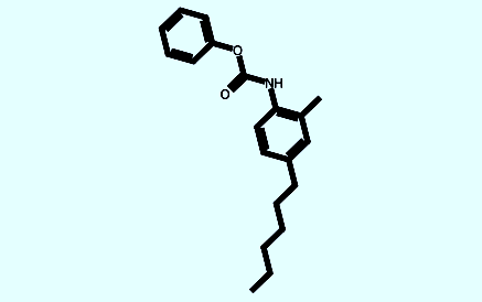 CCCCCCc1ccc(NC(=O)Oc2ccccc2)c(C)c1